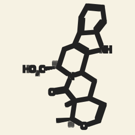 C[C@@H]1OC=CC2CC3c4[nH]c5ccccc5c4C[C@@H](C(=O)O)N3C(=O)C21C